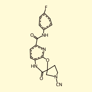 N#CN1CCC2(C1)Oc1nc(C(=O)Nc3ccc(F)cc3)ccc1NC2=O